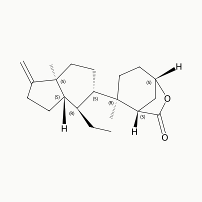 C=C1CC[C@H]2[C@H](CC)[C@@H]([C@@]3(C)CC[C@H]4C[C@@H]3C(=O)O4)CC[C@]12C